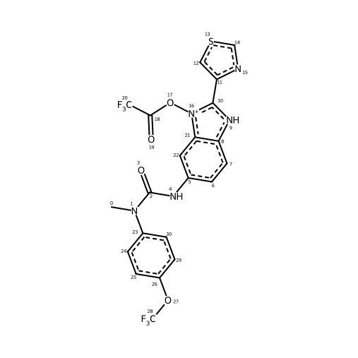 CN(C(=O)Nc1ccc2[nH]c(-c3cscn3)[n+](OC(=O)C(F)(F)F)c2c1)c1ccc(OC(F)(F)F)cc1